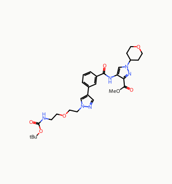 COC(=O)c1nn(C2CCOCC2)cc1NC(=O)c1cccc(-c2cnn(CCOCCNC(=O)OC(C)(C)C)c2)c1